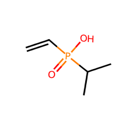 C=CP(=O)(O)C(C)C